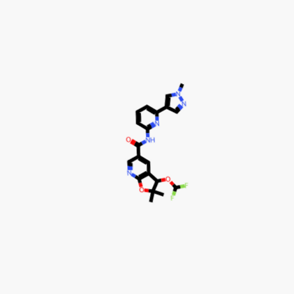 Cn1cc(-c2cccc(NC(=O)c3cnc4c(c3)C(OC(F)F)C(C)(C)O4)n2)cn1